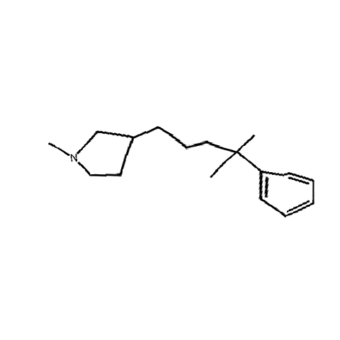 CN1CCC(CCCC(C)(C)c2ccccc2)C1